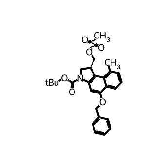 Cc1cccc2c(OCc3ccccc3)cc3c(c12)[C@H](COS(C)(=O)=O)CN3C(=O)OC(C)(C)C